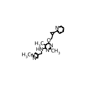 Cc1nc(NCc2cnn(C)c2)c(C)c(OCC2CC2c2ccccn2)n1